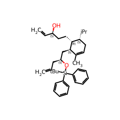 C=CC[C@@H](C[C@@H]1C(C)=CC[C@@H](C(C)C)[C@H]1CC[C@H](O)C=C)O[Si](c1ccccc1)(c1ccccc1)C(C)(C)C